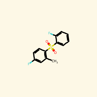 Cc1cc(F)ccc1S(=O)(=O)c1ccccc1F